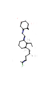 C=C1/C(=C\C=C2/CCC[C@]3(C)[C@@H]([C@H](C)C/C=C(\C)F)CC[C@@H]23)C[C@@H](O)C[C@@H]1O